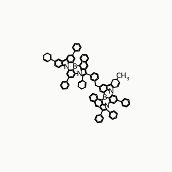 CC1C=Cc2c(c3cc(Cc4cccc(-c5c(C6=CCCC=C6)n6c7c(c8ccccc8cc57)B5c7c-6cc(-c6ccccc6)cc7-n6c7ccc(C8=CCCC=C8)cc7c7cc(-c8ccccc8)cc5c76)c4)cc4c3n2-c2cc(-c3ccccc3)cc3c2B4c2c4ccccc4cc4c(-c5ccccc5)c(-c5ccccc5)n-3c24)C1